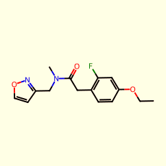 CCOc1ccc(CC(=O)N(C)Cc2ccon2)c(F)c1